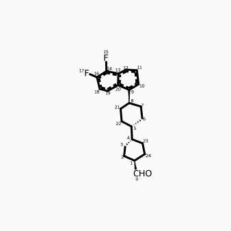 O=C[C@H]1CC[C@H]([C@H]2CC[C@H](c3cccc4c(F)c(F)ccc43)CC2)CC1